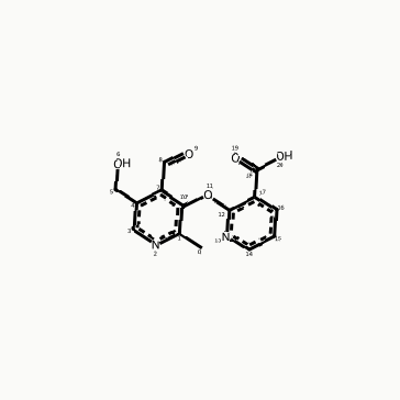 Cc1ncc(CO)c(C=O)c1Oc1ncccc1C(=O)O